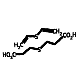 C=CSC=C.O=C(O)CCSCCC(=O)O